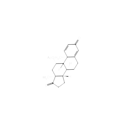 CC(=O)O[C@H]1C[C@]2(C)C(=S)CC[C@H]2[C@@H]2CCC3=CC(=O)C=C[C@]3(C)C12F